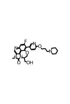 Cn1c(=O)n2c3c4c(c(-c5ccc(OCCCN6CCCCC6)nc5)c(F)cc4ncc31)OCC2CO